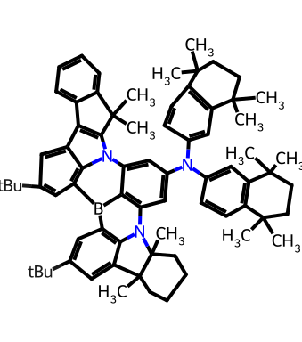 CC(C)(C)c1cc2c3c(c1)C1(C)CCCCC1(C)N3c1cc(N(c3ccc4c(c3)C(C)(C)CCC4(C)C)c3ccc4c(c3)C(C)(C)CCC4(C)C)cc3c1B2c1cc(C(C)(C)C)cc2c4c(n-3c12)C(C)(C)c1ccccc1-4